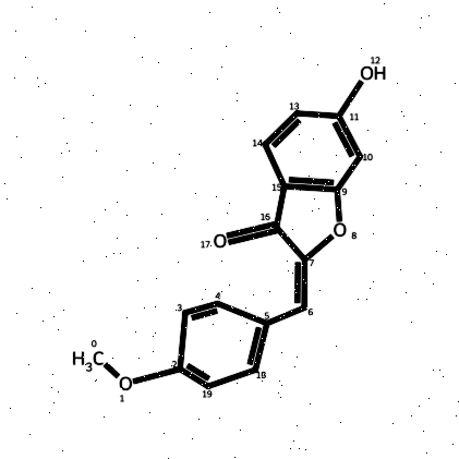 COc1ccc(C=C2Oc3cc(O)ccc3C2=O)cc1